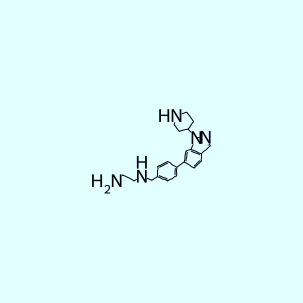 NCCNCc1ccc(-c2ccc3cnn(C4CCNCC4)c3c2)cc1